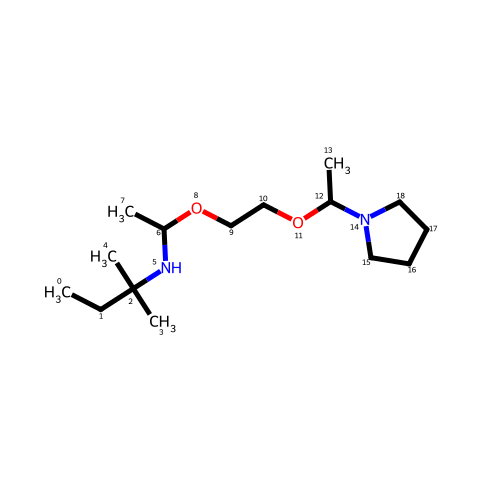 CCC(C)(C)NC(C)OCCOC(C)N1CCCC1